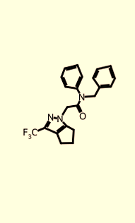 O=C(Cn1nc(C(F)(F)F)c2c1CCC2)N(Cc1ccccc1)c1ccccc1